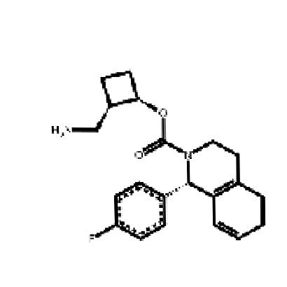 NC[C@H]1CC[C@H]1OC(=O)N1CCC2=C(C=CCC2)[C@@H]1c1ccc(F)cc1